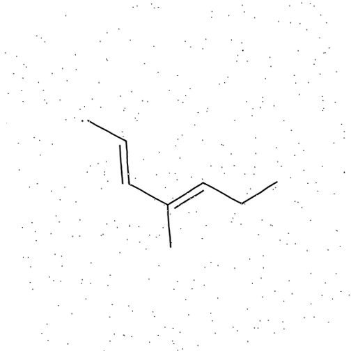 [CH2]C=CC(C)=CCC